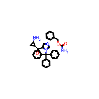 NC(=O)OCc1ccccc1.N[C@@H]1C[C@@H]1C(=O)c1cncn1C(c1ccccc1)(c1ccccc1)c1ccccc1